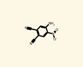 N#Cc1cc(N)c([N+](=O)[O-])cc1C#N